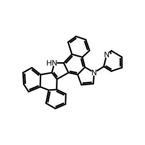 c1ccc(-n2ccc3c4c([nH]c5c6ccccc6c6ccccc6c54)c4ccccc4c32)nc1